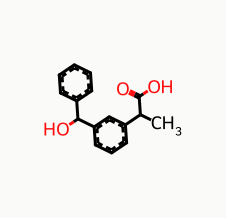 CC(C(=O)O)c1cccc(C(O)c2ccccc2)c1